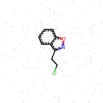 ClCCc1noc2ccccc12